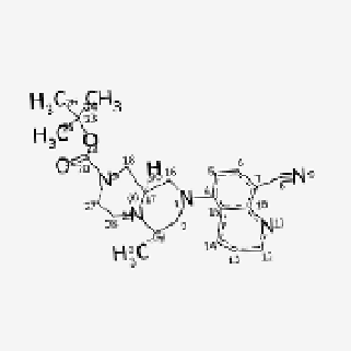 C[C@H]1CN(c2ccc(C#N)c3ncccc23)C[C@@H]2CN(C(=O)OC(C)(C)C)CCN21